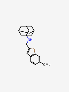 COc1ccc2cc(CNC34CC5CC(CC(C5)C3)C4)sc2c1